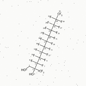 OCC(O)(C(F)(F)F)C(F)(F)C(F)(F)C(F)(F)C(F)(F)C(F)(F)C(F)(F)C(F)(F)C(F)(F)C(F)(F)C(F)(F)F